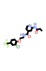 CCC(=O)Nc1cc(C(=O)NCCOc2ccc(C(F)(F)F)cc2Cl)ccn1